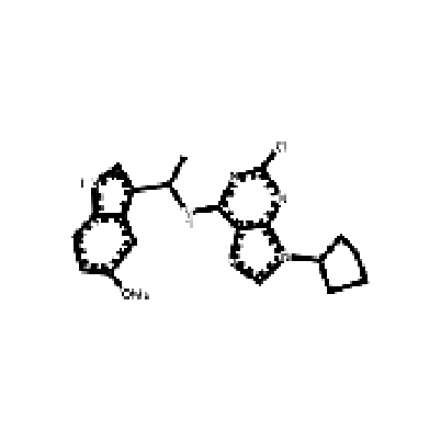 COc1ccc2[nH]cc(C(C)Nc3nc(Cl)nc4c3ncn4C3CCCC3)c2c1